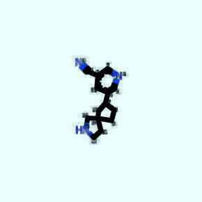 N#Cc1cncc(C2CCC3(CCNC3)C2)c1